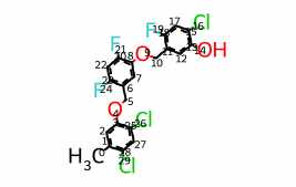 Cc1cc(OCc2cc(OCc3cc(O)c(Cl)cc3F)c(F)cc2F)c(Cl)cc1Cl